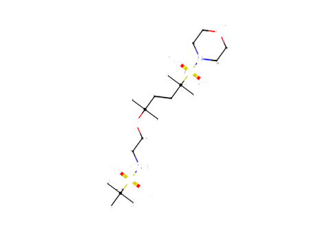 CC(C)(CCC(C)(C)S(=O)(=O)N1CCOCC1)OCCNS(=O)(=O)C(C)(C)C